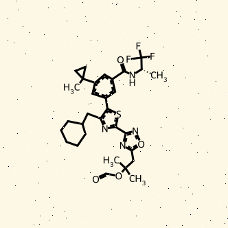 C[C@H](NC(=O)c1cc(-c2sc(-c3noc(CC(C)(C)OC=O)n3)nc2CC2CCCCC2)cc(C2(C)CC2)c1)C(F)(F)F